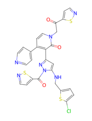 O=C(Cn1ccc(-c2ccncc2)c(-c2cc(NCc3ccc(Cl)s3)n(C(=O)c3ccns3)n2)c1=O)c1ccns1